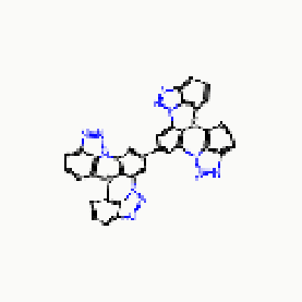 c1cc2c3c(c1)nnn3-c1cc(-c3cc4c5c(c3)-n3nnc6cccc(c63)B5c3cccc5nnn-4c35)cc3c1B2c1cccc2nnn-3c12